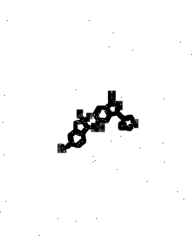 FC1(F)Cc2cc(Br)ccc2C1Nc1ccc2[nH]nc(-c3cnco3)c2c1